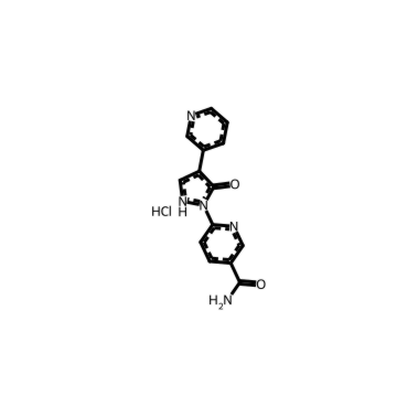 Cl.NC(=O)c1ccc(-n2[nH]cc(-c3cccnc3)c2=O)nc1